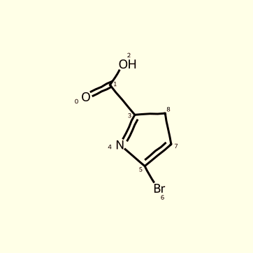 O=C(O)C1=NC(Br)=CC1